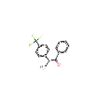 CC(C(=O)c1ccccc1)c1ccc(C(F)(F)F)cc1